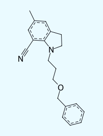 Cc1cc(C#N)c2c(c1)CCN2CCCOCc1ccccc1